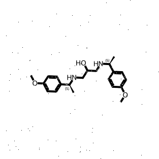 COc1ccc([C@H](C)NCC(O)CN[C@@H](C)c2ccc(OC)cc2)cc1